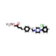 COCC(=O)CCC[C@H]1CC[C@H](CCN2CCN(c3ccccc3Cl)CC2)CC1